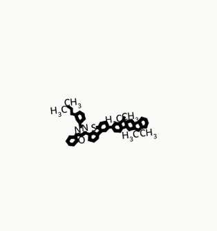 CC(C)CCc1cccc(-c2nc(-c3cccc4c3sc3ccc(-c5ccc6c(c5)C(C)(C)c5cc7c(cc5-6)C(C)(C)c5ccccc5-7)cc34)c3oc4ccccc4c3n2)c1